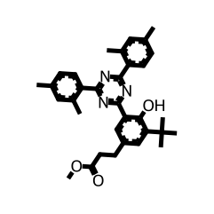 COC(=O)CCc1cc(-c2nc(-c3ccc(C)cc3C)nc(-c3ccc(C)cc3C)n2)c(O)c(C(C)(C)C)c1